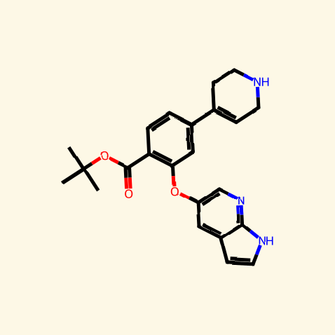 CC(C)(C)OC(=O)c1ccc(C2=CCNCC2)cc1Oc1cnc2[nH]ccc2c1